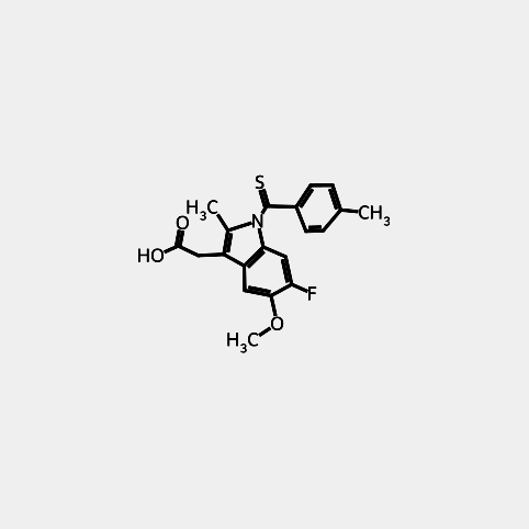 COc1cc2c(CC(=O)O)c(C)n(C(=S)c3ccc(C)cc3)c2cc1F